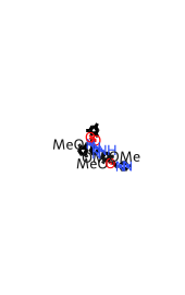 COc1ccc(OC)c(CN(C(=O)Oc2c(C)cc(C)cc2C)c2ccnc(Nc3cc(OC)c(OCCN4CCN(C)CC4)c(OC)c3)n2)c1